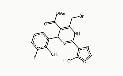 COC(=O)C1=C(CBr)NC(c2ncoc2C)=NC1c1cccc(F)c1C